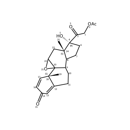 CC(=O)OCC(=O)[C@@]1(O)CCC2C3CCC4=CC(=O)C=C[C@]4(C)C34OC4C[C@@]21C